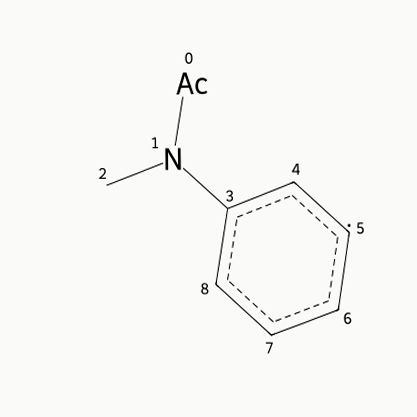 CC(=O)N(C)c1c[c]ccc1